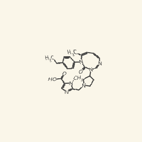 CCc1ccc(-n2c(C)cccncn(C3CCN(Cc4ncc(C(=O)O)n4C)C3)c2=O)cc1